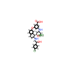 Cl.Cl.O=C(O)c1cc(NC2CCOCC2)cc(Oc2ccc3c(c2)C[C@@H](NC[C@H](O)c2ccc(Cl)cc2)CC3)c1